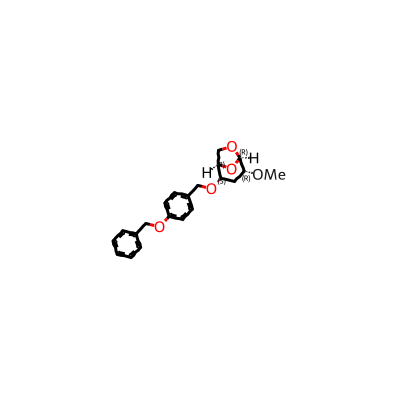 CO[C@@H]1C[C@H](OCc2ccc(OCc3ccccc3)cc2)[C@H]2CO[C@@H]1O2